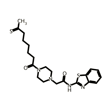 CC(=S)CCCCCC(=O)N1CCN(CC(=O)Nc2nc3ccccc3s2)CC1